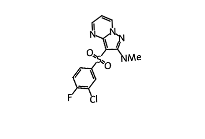 CNc1nn2cccnc2c1S(=O)(=O)c1ccc(F)c(Cl)c1